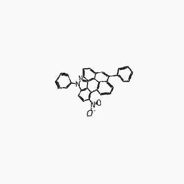 O=[N+]([O-])c1ccc2c(cnn2-c2ccccc2)c1-c1cccc2c(-c3ccccc3)cc3ccccc3c12